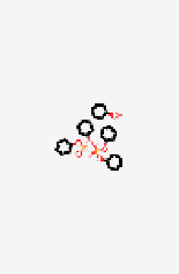 O=P(Oc1ccccc1)(Oc1ccccc1)OP(=O)(Oc1ccccc1)Oc1ccccc1.Oc1ccccc1